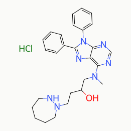 CN(CC(O)CCN1CCCCCN1)c1ncnc2c1nc(-c1ccccc1)n2-c1ccccc1.Cl